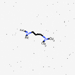 CC(=O)N(CCCN(C)C)C(C)=O